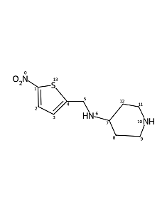 O=[N+]([O-])c1ccc(CNC2CCNCC2)s1